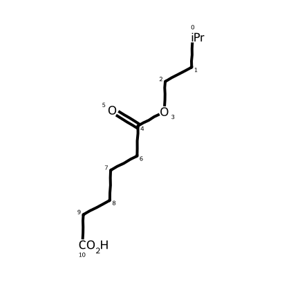 CC(C)CCOC(=O)CCCCC(=O)O